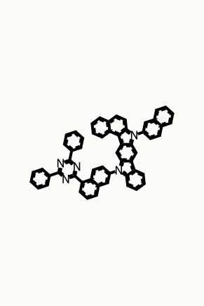 c1ccc(-c2nc(-c3ccccc3)nc(-c3cccc4cc(-n5c6ccccc6c6cc7c(cc65)c5c6ccccc6ccc5n7-c5ccc6ccccc6c5)ccc34)n2)cc1